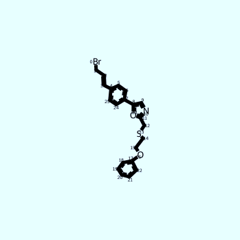 BrCC=Cc1ccc(-c2cnc(CSCCOc3ccccc3)o2)cc1